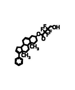 C[C@]12CC[C@H](OC(=O)C(F)(F)C(F)(F)CO)CC1=CCC1C2CC[C@]2(C)C(c3ccccc3)=CCC12